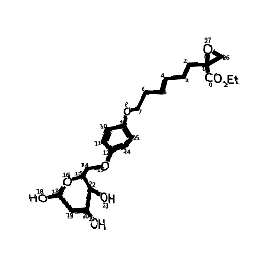 CCOC(=O)C1(CCCCCCOc2ccc(OCC3OC(O)CC(O)C3O)cc2)CO1